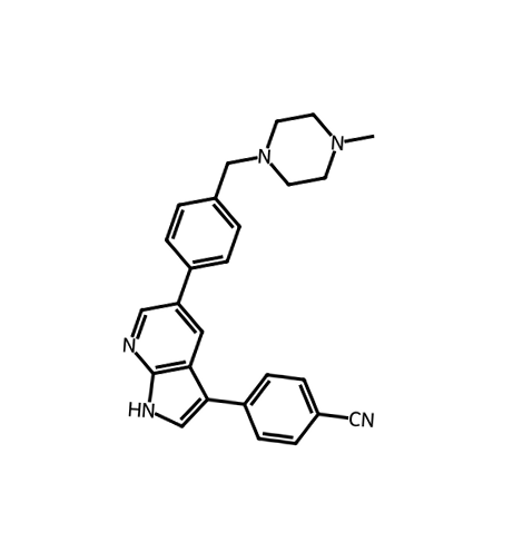 CN1CCN(Cc2ccc(-c3cnc4[nH]cc(-c5ccc(C#N)cc5)c4c3)cc2)CC1